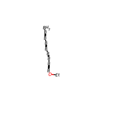 BB=BB=BB=BB=BOCC